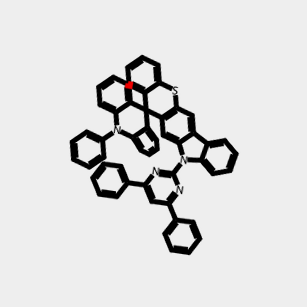 c1ccc(-c2cc(-c3ccccc3)nc(-n3c4ccccc4c4cc5c(cc43)C3(c4ccccc4S5)c4ccccc4N(c4ccccc4)c4ccccc43)n2)cc1